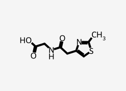 Cc1nc(CC(=O)NCC(=O)O)cs1